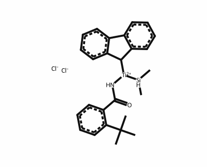 C[SiH](C)[Ti+2]([NH]C(=O)c1ccccc1C(C)(C)C)[CH]1c2ccccc2-c2ccccc21.[Cl-].[Cl-]